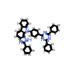 c1ccc(-c2nc(-c3ccccc3)nc(-c3ccc(-n4c5ccccc5c5ccc6nc(-c7ccccc7)[nH]c6c54)cc3)n2)cc1